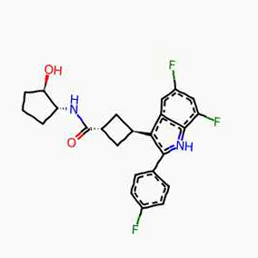 O=C(N[C@@H]1CCC[C@H]1O)[C@H]1C[C@H](c2c(-c3ccc(F)cc3)[nH]c3c(F)cc(F)cc32)C1